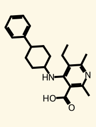 CCc1c(C)nc(C)c(C(=O)O)c1NC1CCC(c2ccccc2)CC1